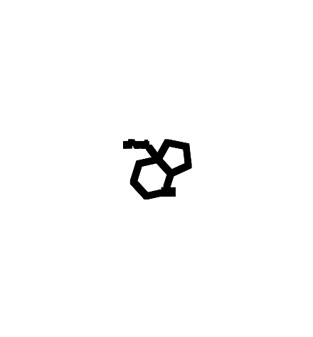 CCCCCC12CCCNC1CCC2